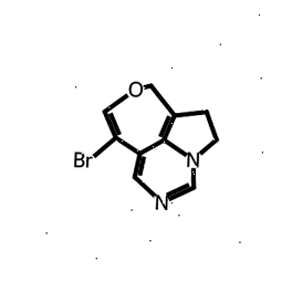 BrC1=COCC2=C3C1=CN=CN3CC2